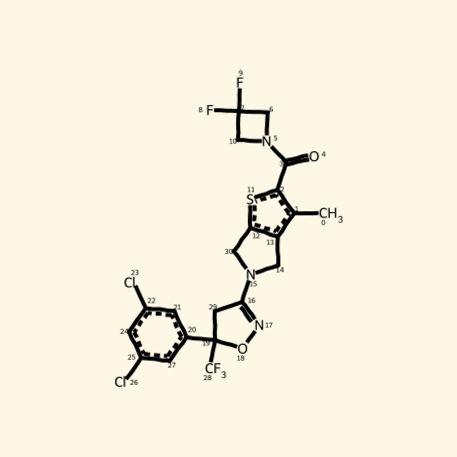 Cc1c(C(=O)N2CC(F)(F)C2)sc2c1CN(C1=NOC(c3cc(Cl)cc(Cl)c3)(C(F)(F)F)C1)C2